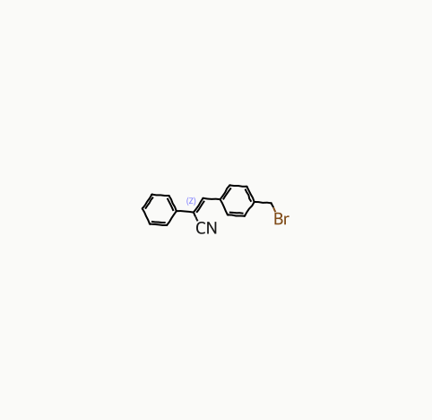 N#C/C(=C\c1ccc(CBr)cc1)c1ccccc1